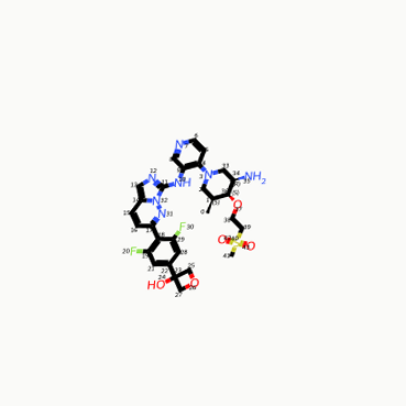 C[C@H]1CN(c2ccncc2Nc2ncc3ccc(-c4c(F)cc(C5(O)COC5)cc4F)nn23)C[C@@H](N)[C@H]1OCCS(C)(=O)=O